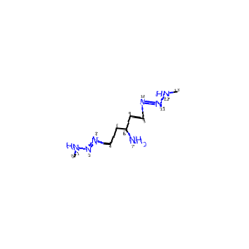 CNN=NCCC(N)CCN=NNC